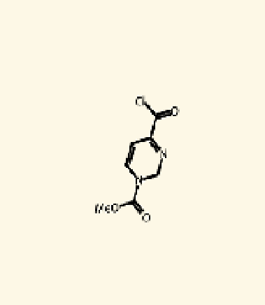 COC(=O)N1C=CC(C(=O)Cl)=NC1